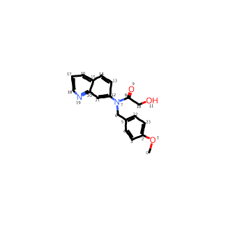 COc1ccc(CN(C(=O)CO)c2ccc3cccnc3c2)cc1